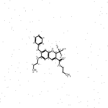 CCCOC(=O)C1=Cc2cc(OCCC)c(Cc3ccccc3)cc2OC1C(F)(F)F